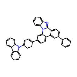 C1=C(c2ccc3c4cc(-c5ccccc5)ccc4c4nc5ccccc5n4c3c2)CCC(n2c3ccccc3c3ccccc32)=C1